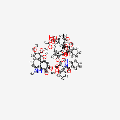 CC(=O)O[C@H]1C(=O)[C@@]2(C)[C@H]([C@H](OC(=O)c3ccccc3)[C@]3(O)C[C@H](OC(=O)[C@H](O)[C@@H](NC(=O)c4ccccc4)c4ccccc4)C(C)=C1C3(C)C)[C@]1(OC(C)=O)CO[C@@H]1C[C@@H]2O.CN[C@H]1CCc2cc(OC)c(OC)c(OC)c2-c2ccc(OC)c(=O)cc21